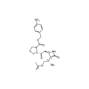 C[SiH](C)OC[C@H]([C@@H]1C(=O)N[C@@H]1CC(=O)[C@@H]1CSCN1C(=O)OCc1ccc([N+](=O)[O-])cc1)C(C)(C)C